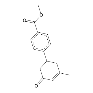 COC(=O)c1ccc(C2CC(=O)C=C(C)C2)cc1